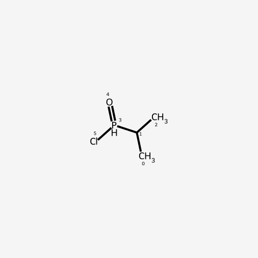 CC(C)[PH](=O)Cl